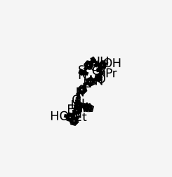 CCc1cccc2cc(O)cc(-c3ncc4c(N5CC6CCC(C5)N6)nc(OCCN5CCC(F)(CN6CCN(c7cc(C(C(=O)N8C[C@H](O)C[C@H]8C(=O)NC(C)c8ccc(-c9scnc9C)cc8)C(C)C)on7)[C@H](C)C6)CC5)nc4c3F)c12